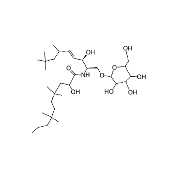 CCCC(C)(C)CCC(C)(C)CC(O)C(=O)N[C@H](COC1OC(CO)C(O)C(O)C1O)[C@H](O)/C=C/C(C)CC(C)(C)C